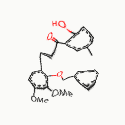 COc1ccc(C=CC(=O)c2cc(C)ccc2O)c(OCc2ccccc2)c1OC